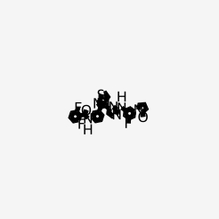 O=C(Nc1cccc(-c2nc3sccn3c2-c2ccnc(Nc3cc(F)cc(N4CCCC4=O)c3)n2)c1)c1c(F)cccc1F